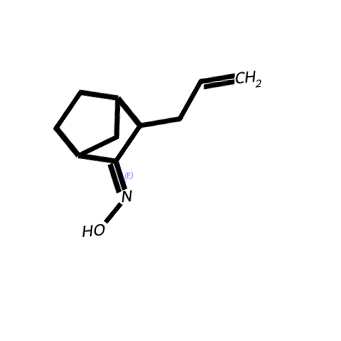 C=CCC1/C(=N/O)C2CCC1C2